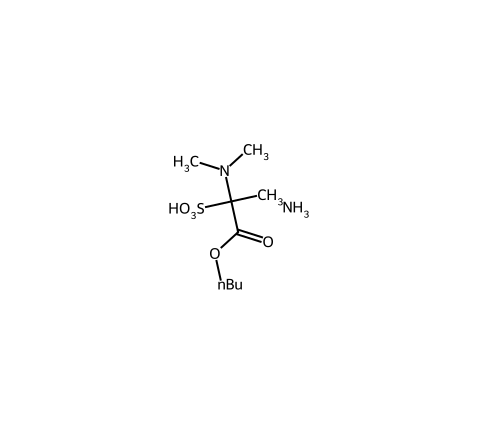 CCCCOC(=O)C(C)(N(C)C)S(=O)(=O)O.N